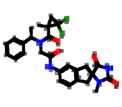 C[C@H](c1ccccc1)N(CC(=O)Nc1ccc2c(c1)C[C@@]1(C2)C(=O)NC(=O)N1C)C(=O)C1(C)CC1(Cl)Cl